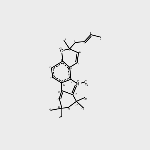 CC=CCC1(C)C=Cc2c(ccc3c2[N+]([O-])=C2C3=CC(C)(C)CC2(C)C)O1